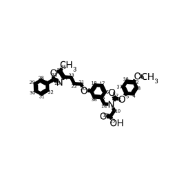 COc1ccc(OC(=O)N(CC(=O)O)Cc2cccc(OCCCc3nc(-c4ccccc4)oc3C)c2)cc1